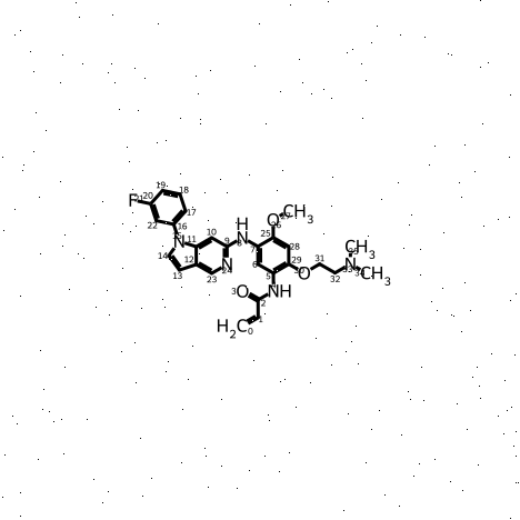 C=CC(=O)Nc1cc(Nc2cc3c(ccn3-c3cccc(F)c3)cn2)c(OC)cc1OCCN(C)C